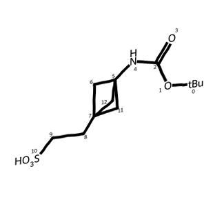 CC(C)(C)OC(=O)NC12CC(CCS(=O)(=O)O)(C1)C2